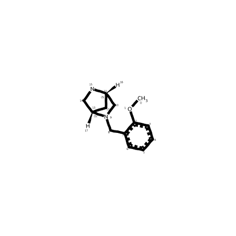 COc1ccccc1CN1C[C@@H]2C[C@H]1C[N]2